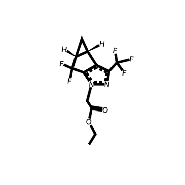 CCOC(=O)Cn1nc(C(F)(F)F)c2c1C(F)(F)[C@@H]1C[C@H]21